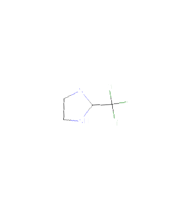 ClC(Cl)(Cl)C1NCCN1